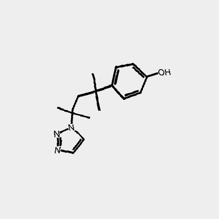 CC(C)(CC(C)(C)n1ccnn1)c1ccc(O)cc1